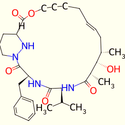 CC(C)[C@@H]1NC(=O)[C@@H](C)[C@@H](O)[C@@H](C)C/C=C/CCCCOC(=O)[C@@H]2CCCN(N2)C(=O)[C@H](Cc2ccccc2)NC1=O